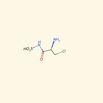 N[C@@H](CCl)C(=O)NS(=O)(=O)O